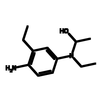 CCc1cc(N(CC)C(C)O)ccc1N